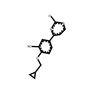 N#Cc1cc(-c2ccnc(Cl)n2)ccc1OCC1CC1